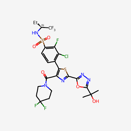 CC[C@H](NS(=O)(=O)c1ccc(-c2sc(-c3nnc(C(C)(C)O)o3)nc2C(=O)N2CCC(F)(F)CC2)c(Cl)c1F)C(F)(F)F